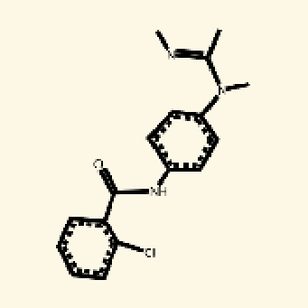 CN=C(C)N(C)c1ccc(NC(=O)c2ccccc2Cl)cc1